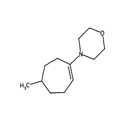 CC1CCC=C(N2CCOCC2)CC1